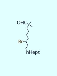 CCCCCCCCCC(Br)CCCCC(C)(C)C=O